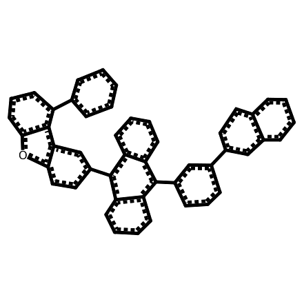 c1ccc(-c2cccc3oc4ccc(-c5c6ccccc6c(-c6cccc(-c7ccc8ccccc8c7)c6)c6ccccc56)cc4c23)cc1